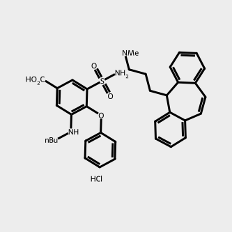 CCCCNc1cc(C(=O)O)cc(S(N)(=O)=O)c1Oc1ccccc1.CNCCCC1c2ccccc2C=Cc2ccccc21.Cl